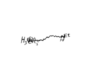 CCNCCCCCCCCCCCCCCCCCCCC[N+](C)(C)C